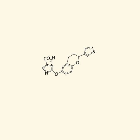 O=C(O)c1cnc(Oc2ccc3c(c2)CCC(c2ccsc2)O3)s1